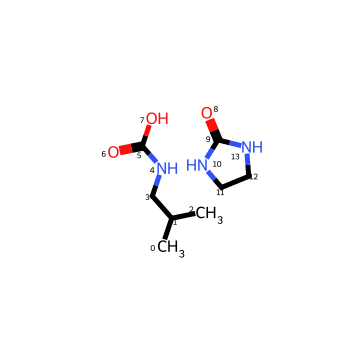 CC(C)CNC(=O)O.O=C1NCCN1